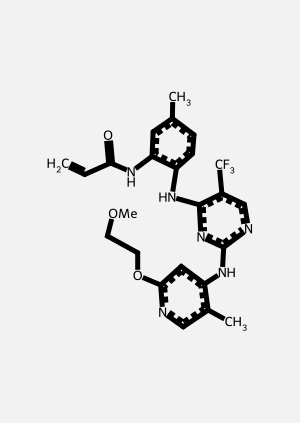 C=CC(=O)Nc1cc(C)ccc1Nc1nc(Nc2cc(OCCOC)ncc2C)ncc1C(F)(F)F